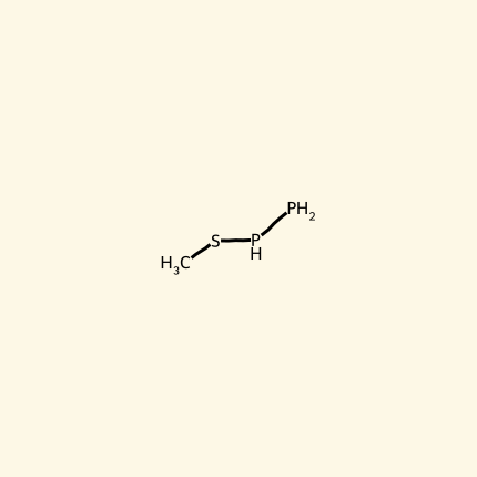 CSPP